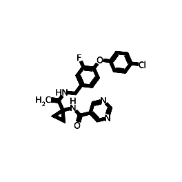 C=C(NCc1ccc(Oc2ccc(Cl)cc2)c(F)c1)C1(NC(=O)c2cncnc2)CC1